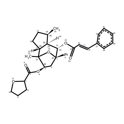 CC(C)[C@@]12C[C@@H](OC(=O)C3CCCO3)C(C)(O1)[C@@H]1CC[C@@H](C)[C@H]1[C@@H]2OC(=O)/C=C/c1ccccc1